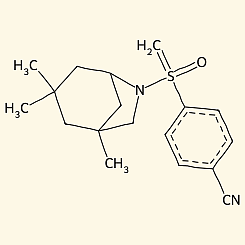 C=S(=O)(c1ccc(C#N)cc1)N1CC2(C)CC1CC(C)(C)C2